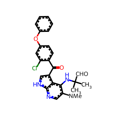 CNc1cnc2[nH]cc(C(=O)c3ccc(Oc4ccccc4)cc3Cl)c2c1NC(C)(C)C=O